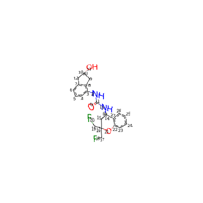 O=C(Nc1cccc2c1C[C@@H](O)C2)N[C@@H]1CC(CF)(CF)Oc2ccccc21